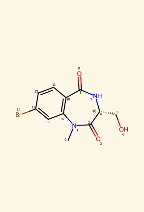 CN1C(=O)[C@@H](CO)NC(=O)c2ccc(Br)cc21